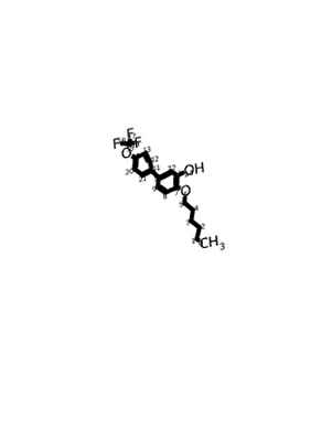 CCCCCCOc1ccc(-c2ccc(OC(F)(F)F)cc2)cc1O